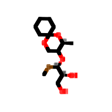 CS[C@H](OC1COC2(CCCCC2)O[C@H]1C)[C@H](O)CO